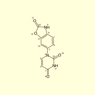 O=c1ccn(-c2ccc3[nH]c(=O)oc3c2)c(=O)[nH]1